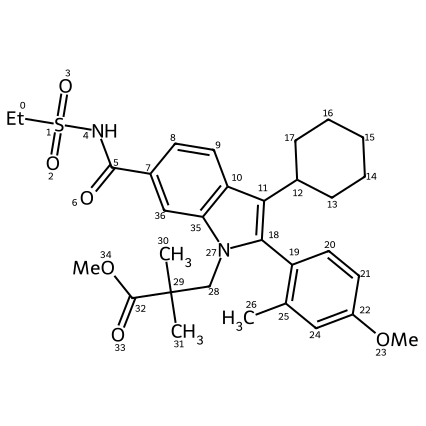 CCS(=O)(=O)NC(=O)c1ccc2c(C3CCCCC3)c(-c3ccc(OC)cc3C)n(CC(C)(C)C(=O)OC)c2c1